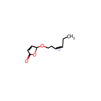 CC/C=C\CCOC1C=CC(=O)O1